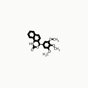 COc1cc([C@H]2OC(=O)Nc3c2ccc2ccccc32)cc(OC)c1OC